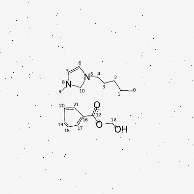 CCCCCN1C=CN(C)C1.O=C(OCO)c1ccccc1